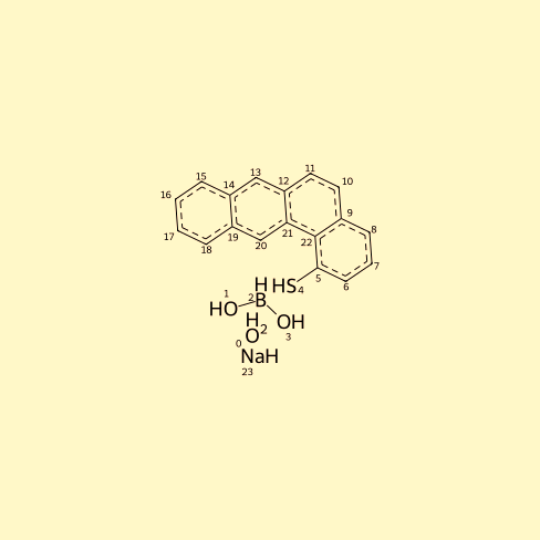 O.OBO.Sc1cccc2ccc3cc4ccccc4cc3c12.[NaH]